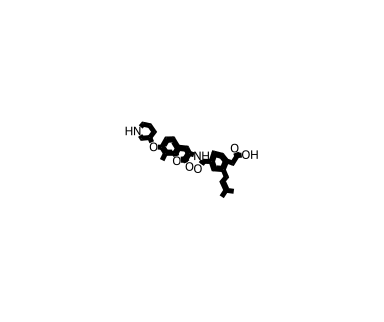 CC(C)=CCc1cc(C(=O)Nc2cc3ccc(OC4CCCNC4)c(C)c3oc2=O)ccc1CC(=O)O